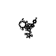 CC[C@H]1CCCC[C@@H](C)C(=O)C2=CC3[C@@H](C(O)C(n4cc(-c5ccc(F)cc5)nn4)[C@@H]4C[C@@H](O[C@H](O)/C(OC)=C(/C)OC)C[C@@H]34)[C@@H]2CC(=O)O1